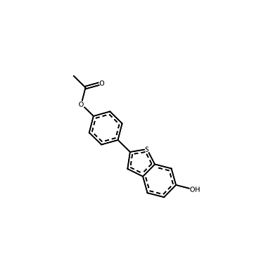 CC(=O)Oc1ccc(-c2cc3ccc(O)cc3s2)cc1